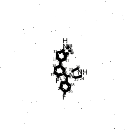 Fc1ccc(C(c2cc(-c3ccc4[nH]nnc4c3)ccc2F)N2CCNCC2)cc1